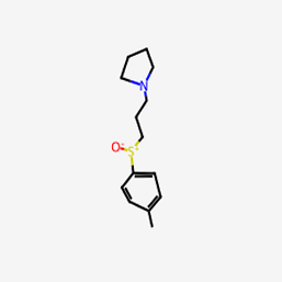 Cc1ccc([S+]([O-])CCCN2CCCC2)cc1